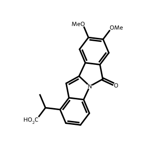 COc1cc2c(cc1OC)-c1cc3c(C(C)C(=O)O)cccc3n1C2=O